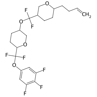 C=CCCC1CCC(C(F)(F)OC2CCC(C(F)(F)Oc3cc(F)c(F)c(F)c3)OC2)CO1